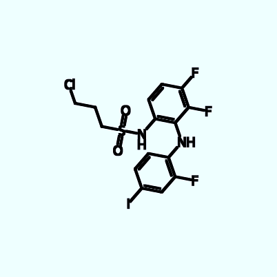 O=S(=O)(CCCCl)Nc1ccc(F)c(F)c1Nc1ccc(I)cc1F